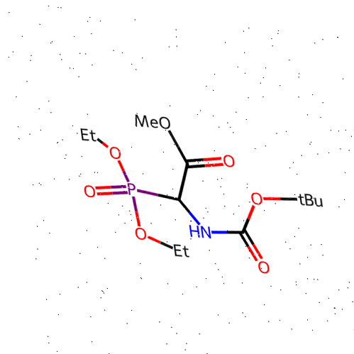 CCOP(=O)(OCC)C(NC(=O)OC(C)(C)C)C(=O)OC